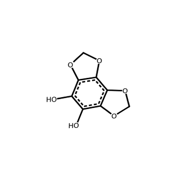 Oc1c(O)c2c(c3c1OCO3)OCO2